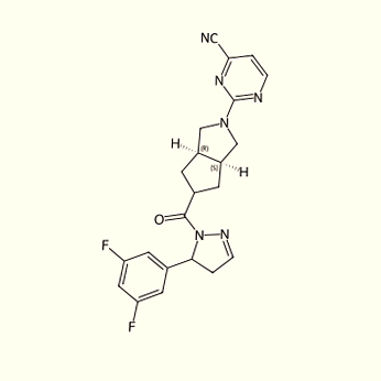 N#Cc1ccnc(N2C[C@H]3CC(C(=O)N4N=CCC4c4cc(F)cc(F)c4)C[C@H]3C2)n1